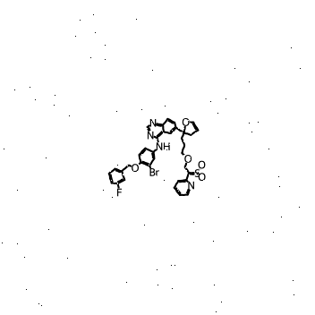 O=S(=O)=C(COCCCC1(c2ccc3ncnc(Nc4ccc(OCc5cccc(F)c5)c(Br)c4)c3c2)CC=CO1)c1ccccn1